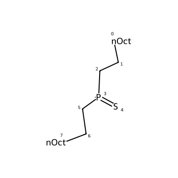 CCCCCCCCCC[P](=S)CCCCCCCCCC